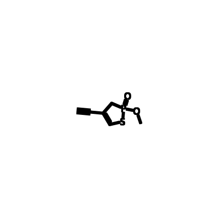 C#CC1=CSP(=O)(OC)C1